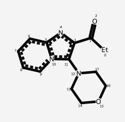 CCC(=O)c1nc2ccccn2c1N1CCOCC1